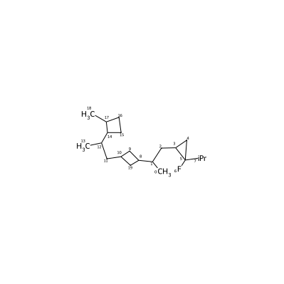 CC(CC1CC1(F)C(C)C)C1CC(CC(C)C2CCC2C)C1